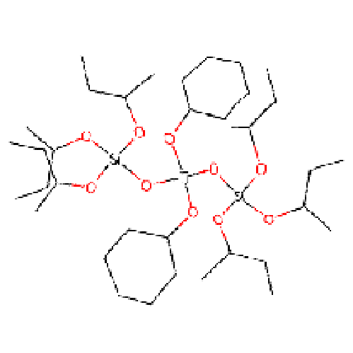 CCC(C)O[Si](OC(C)CC)(OC(C)CC)[O][Ti]([O]C1CCCCC1)([O]C1CCCCC1)[O][Si](OC(C)CC)(OC(C)CC)OC(C)CC